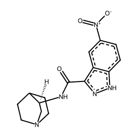 O=C(N[C@H]1CN2CCC1CC2)c1n[nH]c2ccc([N+](=O)[O-])cc12